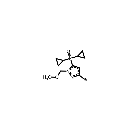 COCn1nc(Br)cc1P(=O)(C1CC1)C1CC1